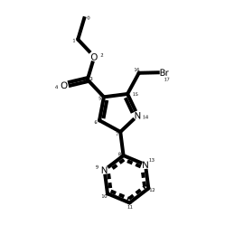 CCOC(=O)C1=CC(c2ncccn2)N=C1CBr